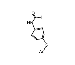 CC(=O)Sc1ccc(NC(=O)I)cc1